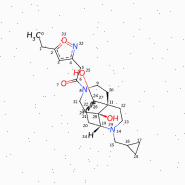 CCc1cc(CC(=O)N2CC[C@]34CCN(CC5CC5)[C@H](Cc5ccc(O)cc53)[C@]4(O)CC2)no1